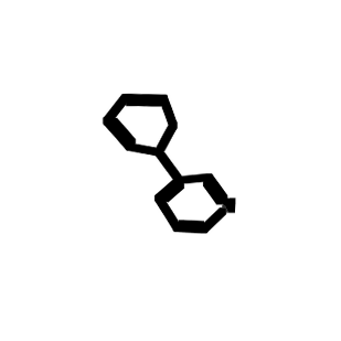 C1=CCC(c2cccnc2)C=C1